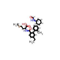 CCc1ccc(C(=O)NC(CCSC)C(=O)O)c(-c2ccccc2C)c1.O=CNC1CCCCC1